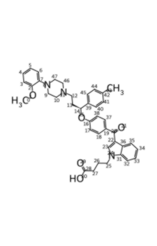 COc1ccccc1N1CCN(CC[C@H](Oc2ccc(C(=O)c3cn(CCCC(=O)O)c4ccccc34)cc2)c2ccc(C)cc2)CC1